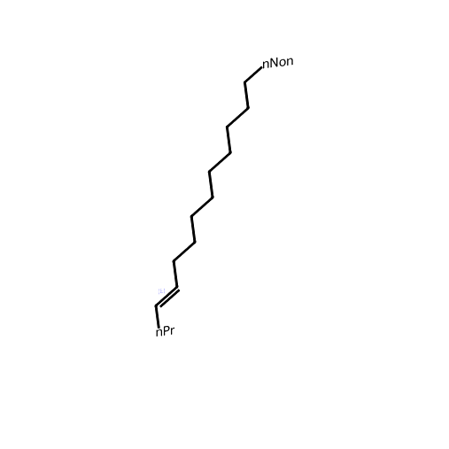 CCC/C=C/CCCCCCCCCCCCCCCCCC